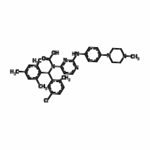 Cc1cc(C)c(C(c2cc(Cl)ccc2C)N(C(=O)O)c2ccnc(Nc3ccc(N4CCN(C)CC4)cc3)n2)c(C)c1